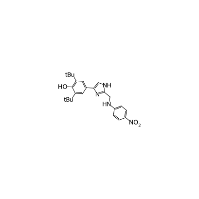 CC(C)(C)c1cc(-c2c[nH]c(CNc3ccc([N+](=O)[O-])cc3)n2)cc(C(C)(C)C)c1O